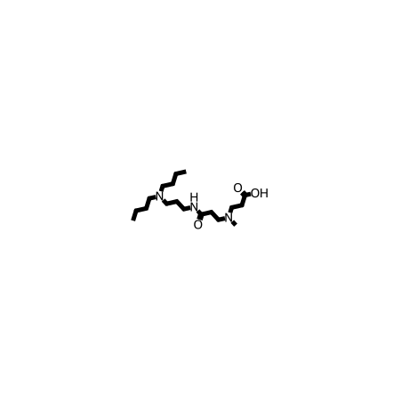 CCCCN(CCCC)CCCNC(=O)CCN(C)CCC(=O)O